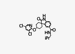 CC(C)CNC(=O)c1ccc2c(c1)C1(CCC(Oc3ncc(Cl)cc3Cl)CC1)C(=O)N2